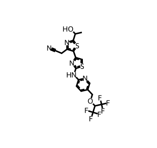 CC(O)c1nc(CC#N)c(-c2csc(Nc3ccc(COC(C(F)(F)F)C(F)(F)F)cn3)n2)s1